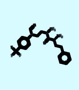 CN(CCN(C=O)c1ccc(C(F)(F)F)cc1)C(=O)[C@@H](N)CCc1ccccc1